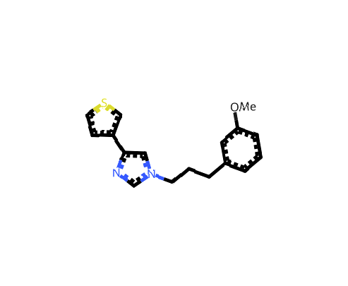 COc1cccc(CCCn2cnc(-c3ccsc3)c2)c1